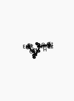 CCO[Si](CCCNC(=O)OCCN1/C(=C\C=C2/CCCC(/C=C/C3=[N+](CCOC(=O)NCCC[Si](OCC)(OCC)OCC)c4ccc5ccccc5c4C3(C)C)=C2Cl)C(C)(C)c2c1ccc1ccccc21)(OCC)OCC